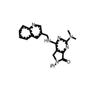 CC(C)N1Cc2c(NCc3cnc4ccccc4c3)nc(N(C)C)nc2C1=O